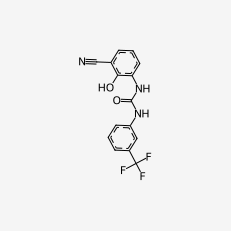 N#Cc1cccc(NC(=O)Nc2cccc(C(F)(F)F)c2)c1O